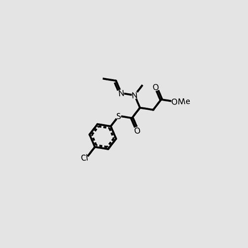 CC=NN(C)C(CC(=O)OC)C(=O)Sc1ccc(Cl)cc1